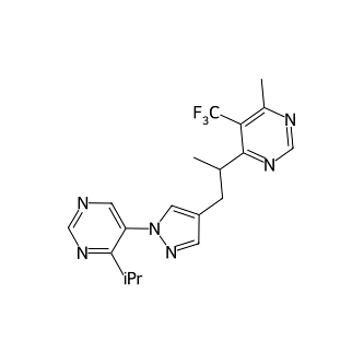 Cc1ncnc(C(C)Cc2cnn(-c3cncnc3C(C)C)c2)c1C(F)(F)F